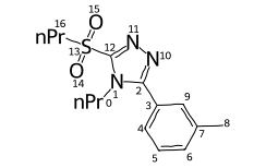 CCCn1c(-c2cccc(C)c2)nnc1S(=O)(=O)CCC